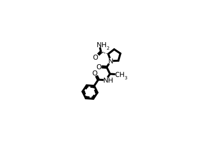 CC(NC(=O)c1ccccc1)C(=O)N1CCC[C@H]1C(N)=O